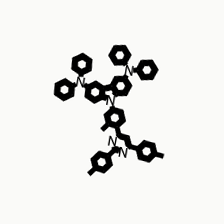 Cc1ccc(-c2cc(-c3ccc(-n4c5ccc(N(c6ccccc6)c6ccccc6)cc5c5cc(N(c6ccccc6)c6ccccc6)ccc54)cc3C)nc(-c3ccc(C)cc3)n2)cc1